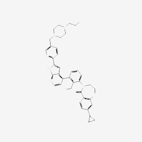 O=C1c2ccc(C3CC3)cc2OCCN1c1cccc(-c2ccnc3[nH]c(-c4ccc(CN5CCN(CCF)CC5)cn4)cc23)c1CO